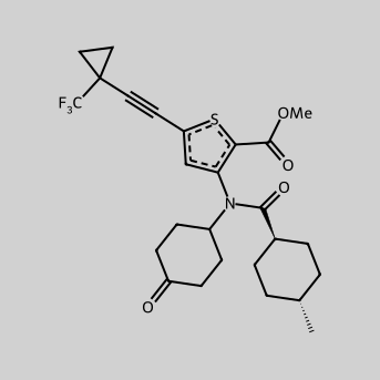 COC(=O)c1sc(C#CC2(C(F)(F)F)CC2)cc1N(C(=O)[C@H]1CC[C@H](C)CC1)C1CCC(=O)CC1